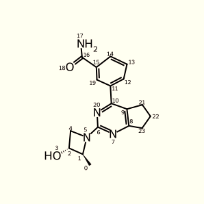 C[C@H]1[C@H](O)CN1c1nc2c(c(-c3cccc(C(N)=O)c3)n1)CCC2